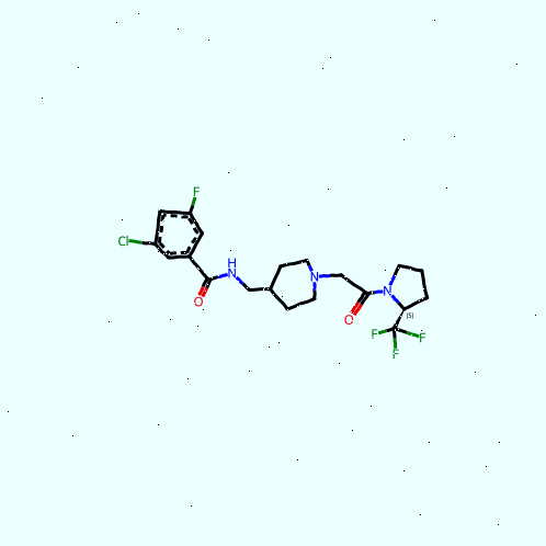 O=C(NCC1CCN(CC(=O)N2CCC[C@H]2C(F)(F)F)CC1)c1cc(F)cc(Cl)c1